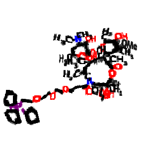 CC[C@H]1OC(=O)[C@H](C)[C@@H](C2C[C@@](C)(OC)[C@@H](O)[C@H](C)O2)[C@H](C)[C@@H](O[C@@H]2O[C@H](C)C[C@H](N(C)C)[C@H]2O)[C@](C)(O)C[C@@H](C)CN(C(=O)CCOCCOCCOCC[PH](c2ccccc2)(c2ccccc2)c2ccccc2)[C@H](C)[C@@H](O)[C@]1(C)O